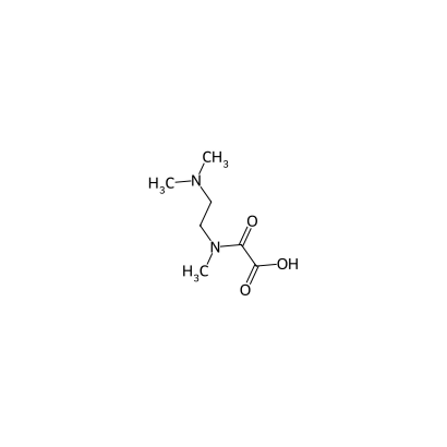 CN(C)CCN(C)C(=O)C(=O)O